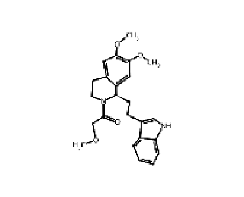 COCC(=O)N1CCc2cc(OC)c(OC)cc2[C@H]1CCc1c[nH]c2ccccc12